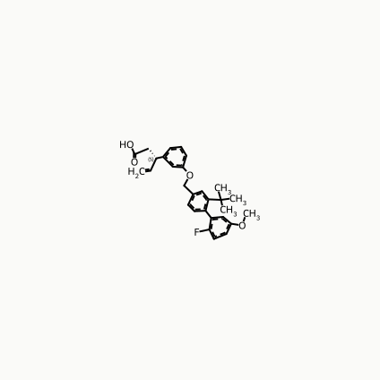 C=C[C@H](CC(=O)O)c1cccc(OCc2ccc(-c3cc(OC)ccc3F)c(C(C)(C)C)c2)c1